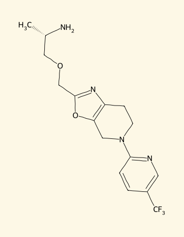 C[C@H](N)COCc1nc2c(o1)CN(c1ccc(C(F)(F)F)cn1)CC2